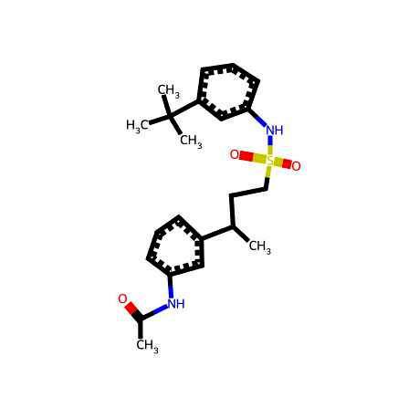 CC(=O)Nc1cccc(C(C)CCS(=O)(=O)Nc2cccc(C(C)(C)C)c2)c1